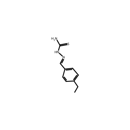 CCc1ccc(C=NNC(N)=S)cc1